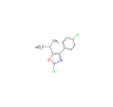 CC(C(=O)O)c1oc(Cl)nc1-c1ccc(Cl)cc1